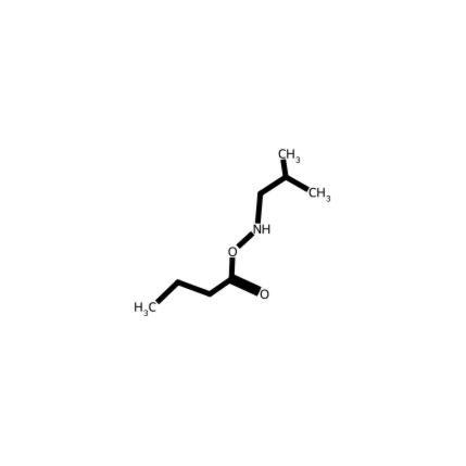 CCCC(=O)ONCC(C)C